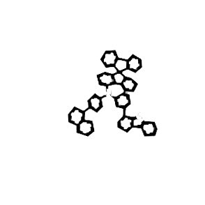 c1cc(-c2cccc3c2sc2ccccc23)cc(N(c2ccc(-c3cccc4ccccc34)cc2)c2cccc3c2-c2ccccc2C32c3ccccc3-c3ccccc32)c1